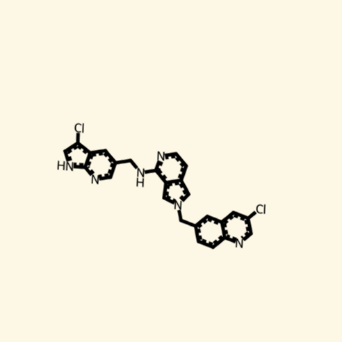 Clc1cnc2ccc(Cn3cc4ccnc(NCc5cnc6[nH]cc(Cl)c6c5)c4c3)cc2c1